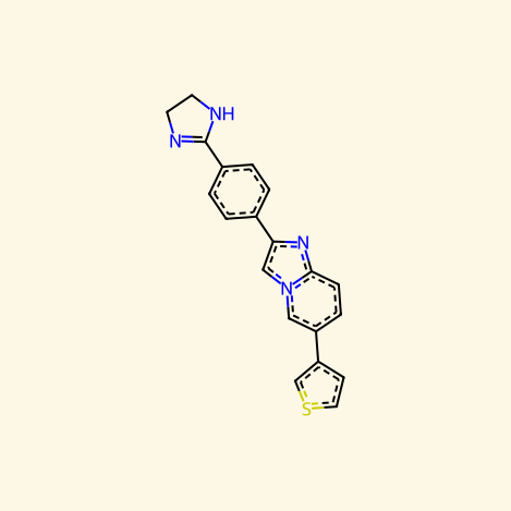 c1cc(-c2ccc3nc(-c4ccc(C5=NCCN5)cc4)cn3c2)cs1